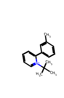 Cc1cccc(-c2cccc[n+]2C(C)(C)C)c1